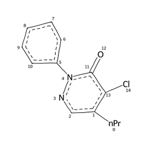 CCCc1cnn(-c2ccccc2)c(=O)c1Cl